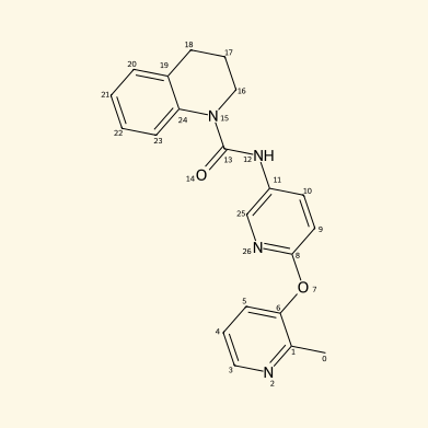 Cc1ncccc1Oc1ccc(NC(=O)N2CCCc3ccccc32)cn1